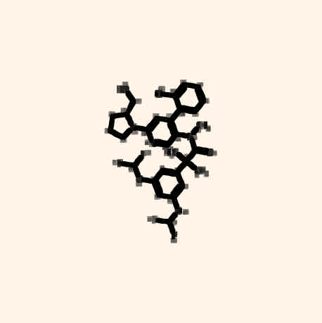 CN(C(=O)C(C)(C)c1cc(OC(F)F)cc(OC(F)F)c1)c1cnc(N2CCC[C@H]2CO)cc1-c1ccccc1Cl